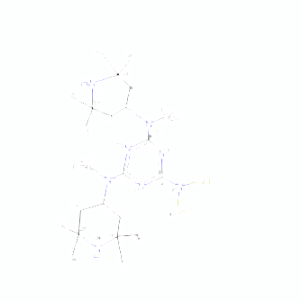 CCCCN(c1nc(N(S)S)nc(N(CCCC)C2CC(C)(C)NC(C)(C)C2)n1)C1CC(C)(C)NC(C)(C)C1